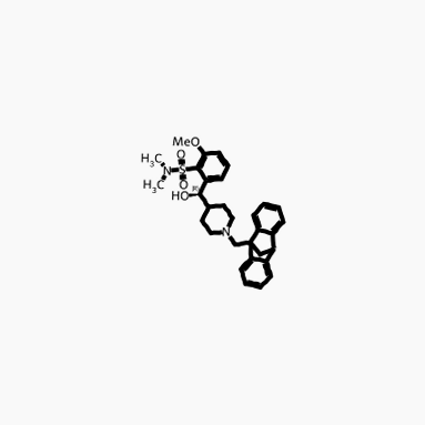 COc1cccc([C@H](O)C2CCN(CC34CC(c5ccccc53)c3ccccc34)CC2)c1S(=O)(=O)N(C)C